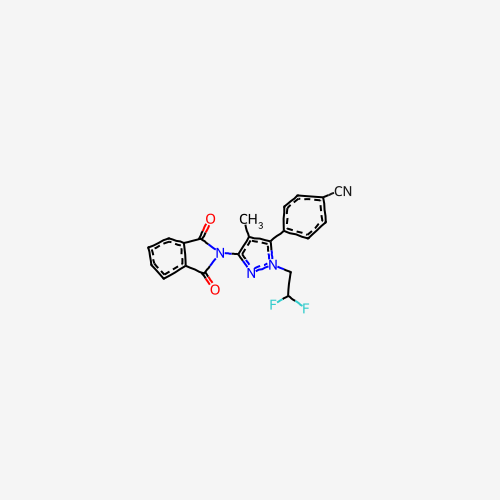 Cc1c(N2C(=O)c3ccccc3C2=O)nn(CC(F)F)c1-c1ccc(C#N)cc1